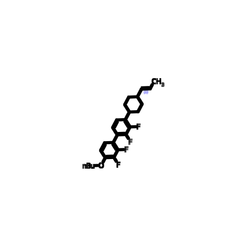 C/C=C/C1CCC(c2ccc(-c3ccc(OCCCC)c(F)c3F)c(F)c2F)CC1